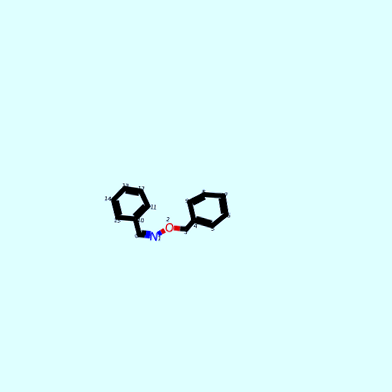 C(=N/OCc1ccccc1)/c1ccccc1